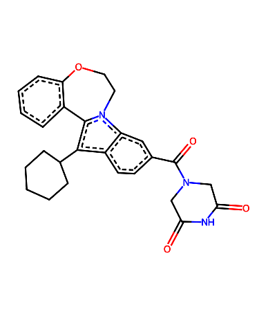 O=C1CN(C(=O)c2ccc3c(C4CCCCC4)c4n(c3c2)CCOc2ccccc2-4)CC(=O)N1